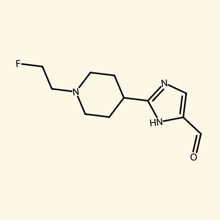 O=Cc1cnc(C2CCN(CCF)CC2)[nH]1